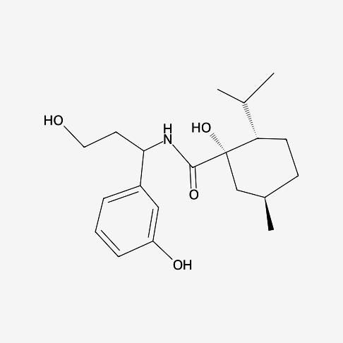 CC(C)[C@@H]1CC[C@@H](C)C[C@@]1(O)C(=O)NC(CCO)c1cccc(O)c1